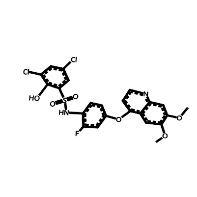 COc1cc2nccc(Oc3ccc(NS(=O)(=O)c4cc(Cl)cc(Cl)c4O)c(F)c3)c2cc1OC